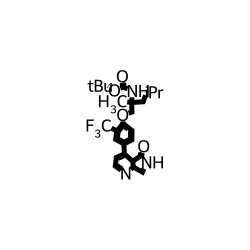 CC(C)CC(C)(COc1ccc(C2=CC=NC3CNC(=O)C23)cc1C(F)(F)F)NC(=O)OC(C)(C)C